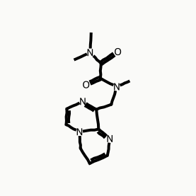 CN(C)C(=O)C(=O)N(C)CC1=NC=CN2CC=CN=C12